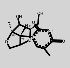 Cc1cn([C@@H]2C3CO[C@H]2C(O)[C@@H](CO)O3)c(=O)[nH]c1=O